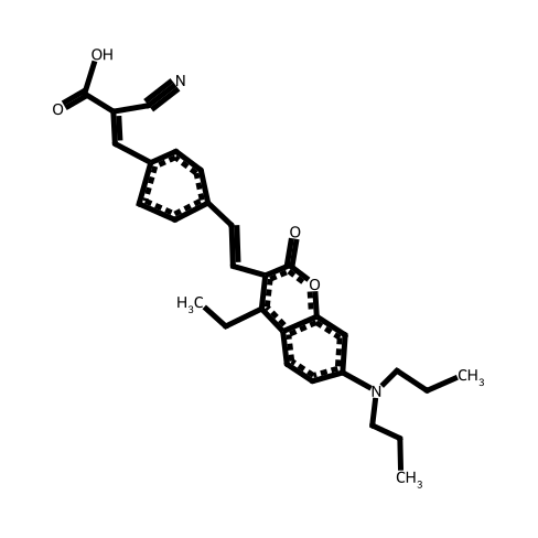 CCCN(CCC)c1ccc2c(CC)c(/C=C/c3ccc(/C=C(\C#N)C(=O)O)cc3)c(=O)oc2c1